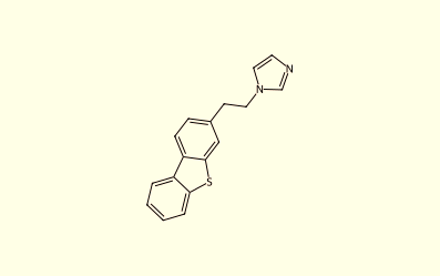 c1ccc2c(c1)sc1cc(CCn3ccnc3)ccc12